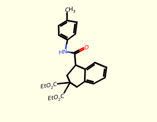 CCOC(=O)C1(C(=O)OCC)Cc2ccccc2C(C(=O)Nc2ccc(C)cc2)C1